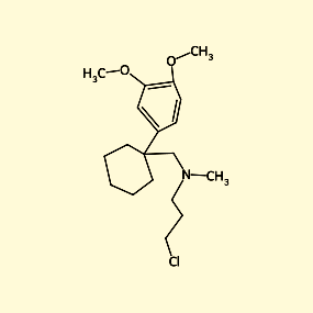 COc1ccc(C2(CN(C)CCCCl)CCCCC2)cc1OC